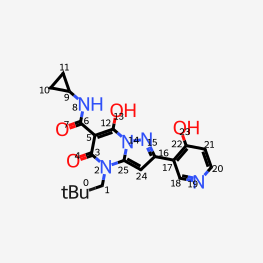 CC(C)(C)Cn1c(=O)c(C(=O)NC2CC2)c(O)n2nc(-c3cnccc3O)cc12